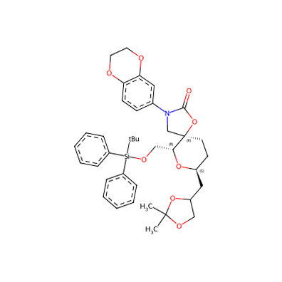 CC1(C)OCC(C[C@@H]2CC[C@@]3(CN(c4ccc5c(c4)OCCO5)C(=O)O3)[C@@H](CO[Si](c3ccccc3)(c3ccccc3)C(C)(C)C)O2)O1